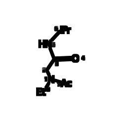 CCN(CC(=O)NC(C)C)C(C)=O